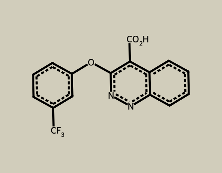 O=C(O)c1c(Oc2cccc(C(F)(F)F)c2)nnc2ccccc12